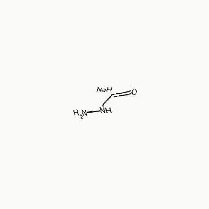 NNC=O.[NaH]